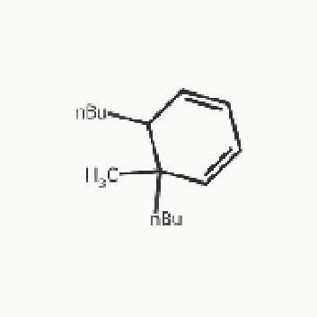 CCCCC1C=CC=CC1(C)CCCC